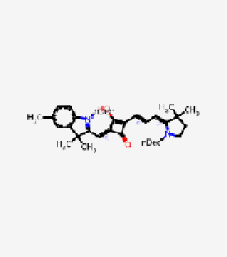 CCCCCCCCCCN1CCC(C)(C)/C1=C/C=C/C1=C(O)C(=C\C2=[N+](CCCCCCCCCC)c3ccc(C)cc3C2(C)C)/C1=O